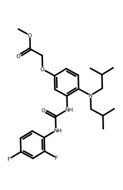 COC(=O)COc1ccc(N(CC(C)C)CC(C)C)c(NC(=O)Nc2ccc(F)cc2F)c1